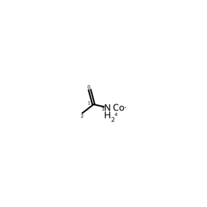 C=C(C)N.[Co]